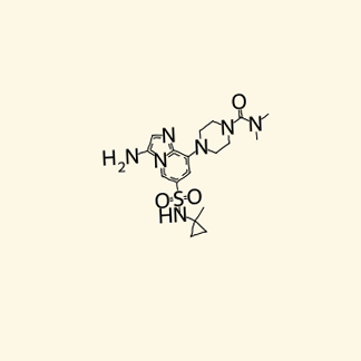 CN(C)C(=O)N1CCN(c2cc(S(=O)(=O)NC3(C)CC3)cn3c(N)cnc23)CC1